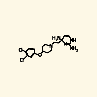 NC1=NC(N)(CCN2CCC(Oc3ccc(Cl)c(Cl)c3)CC2)C=CN1